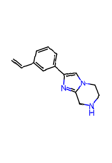 C=Cc1cccc(-c2cn3c(n2)CNCC3)c1